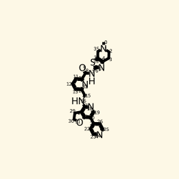 CN1CCc2nc(NC(=O)c3cccc(CNc4ncc(-c5ccncc5)c5c4CCO5)n3)sc2C1